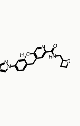 Cc1cnc(C(=O)NCC2CCO2)cc1Cc1ccc(-n2cccn2)cc1